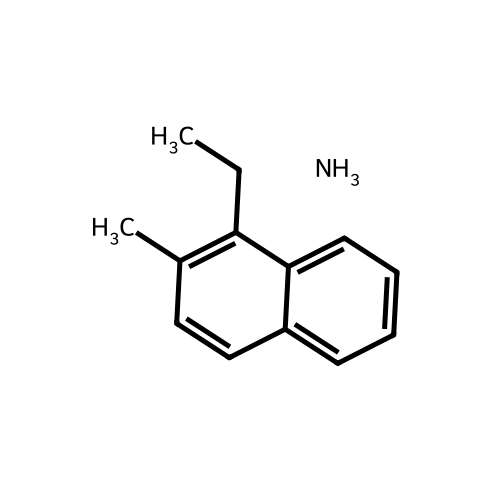 CCc1c(C)ccc2ccccc12.N